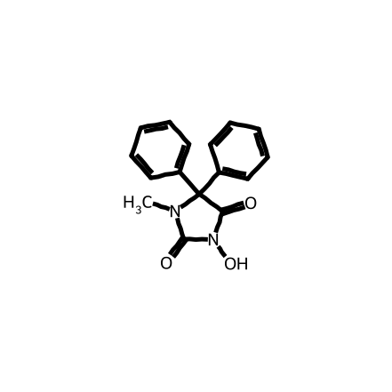 CN1C(=O)N(O)C(=O)C1(c1ccccc1)c1ccccc1